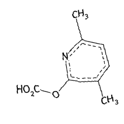 Cc1ccc(C)c(OC(=O)O)n1